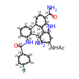 CC(=O)Nc1ccc2c(c1)[nH]c1c(C(N)=O)ccc(-c3cccc(NC(=O)c4ccc(F)cc4)c3CN)c12